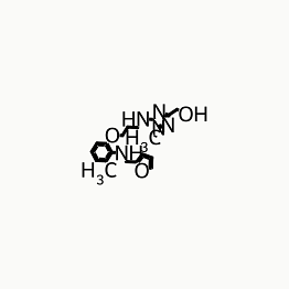 Cc1cccc(OCCCNc2nc(CO)nn2C)c1NCc1ccco1